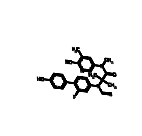 CN(C(=O)C(C)(C)N(C=S)c1ccc(-c2ccc(O)cc2)c(F)c1)c1cnc(C#N)c(C(F)(F)F)c1